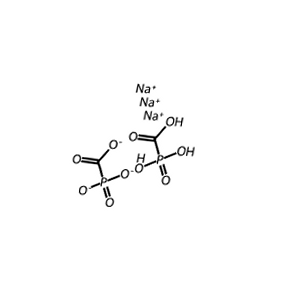 O=C(O)P(=O)(O)O.O=C([O-])P(=O)([O-])[O-].[Na+].[Na+].[Na+]